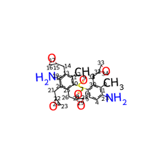 Cc1c(N)ccc(S(=O)(=O)c2c(C)c(CC3CO3)c(N)c(CC3CO3)c2CC2CO2)c1CC1CO1